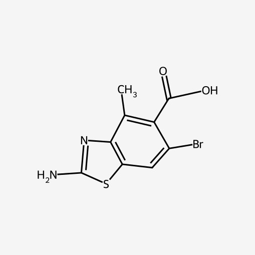 Cc1c(C(=O)O)c(Br)cc2sc(N)nc12